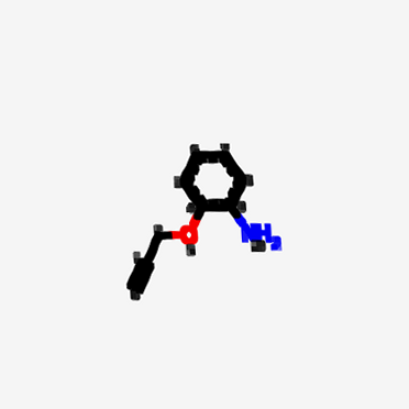 C#CCOc1ccccc1N